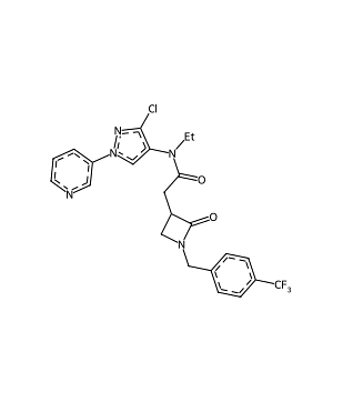 CCN(C(=O)CC1CN(Cc2ccc(C(F)(F)F)cc2)C1=O)c1cn(-c2cccnc2)nc1Cl